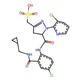 O=C(NCC1CC1)c1cc(Cl)ccc1NC(=O)C1CC(CS(=O)(=O)O)=NN1c1ncccc1Cl